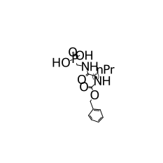 CCC[C@H](NC(=O)OCc1ccccc1)C(=O)NCP(=O)(O)O